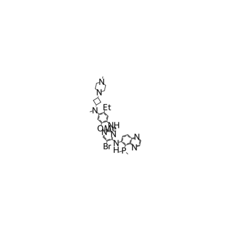 CCc1cc(Nc2ncc(Br)c(Nc3ccc4nccnc4c3P(C)C)n2)c(OC)cc1N(C)[C@H]1C[C@@H](N2CCN(C)CC2)C1